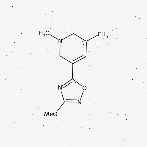 COc1noc(C2=CC(C)CN(C)C2)n1